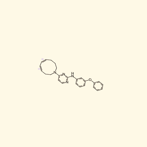 C1=C\CCCN(c2ccnc(Nc3cccc(Oc4ccccc4)c3)n2)CC\C=C/1